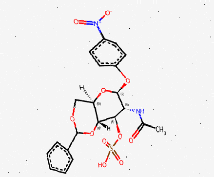 CC(=O)N[C@H]1[C@H](Oc2ccc([N+](=O)[O-])cc2)O[C@@H]2COC(c3ccccc3)O[C@H]2[C@@H]1OS(=O)(=O)O